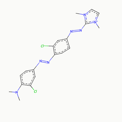 CN(C)c1ccc(/N=N/c2ccc(/N=N/c3n(C)cc[n+]3C)cc2Cl)cc1Cl